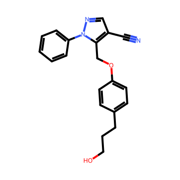 N#Cc1cnn(-c2ccccc2)c1COc1ccc(CCCO)cc1